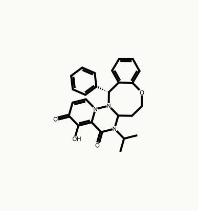 CC(C)N1C(=O)c2c(O)c(=O)ccn2N2C1CCOc1ccccc1[C@H]2c1ccccc1